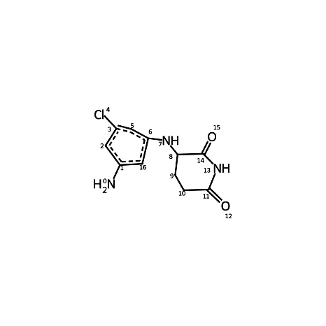 Nc1cc(Cl)cc(NC2CCC(=O)NC2=O)c1